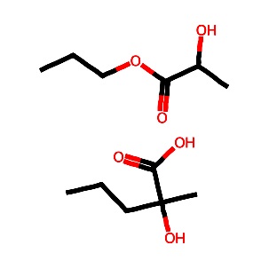 CCCC(C)(O)C(=O)O.CCCOC(=O)C(C)O